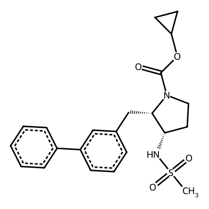 CS(=O)(=O)N[C@H]1CCN(C(=O)OC2CC2)[C@H]1Cc1cccc(-c2ccccc2)c1